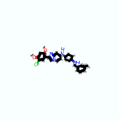 COc1cc(OC)c(-c2cn3ccc(NC4CCC(NCc5cccc(C)c5)CC4)cc3n2)cc1Cl